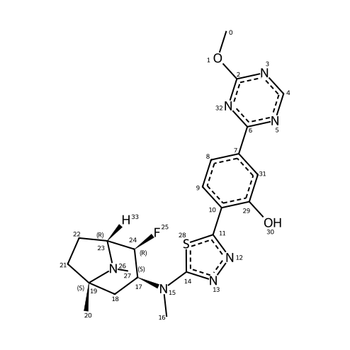 COc1ncnc(-c2ccc(-c3nnc(N(C)[C@H]4C[C@]5(C)CC[C@H]([C@H]4F)N5C)s3)c(O)c2)n1